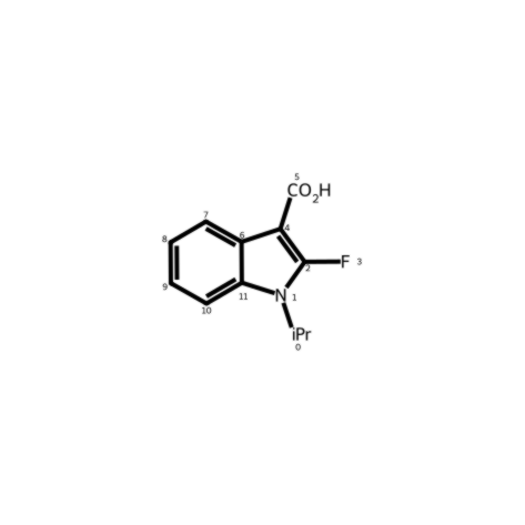 CC(C)n1c(F)c(C(=O)O)c2ccccc21